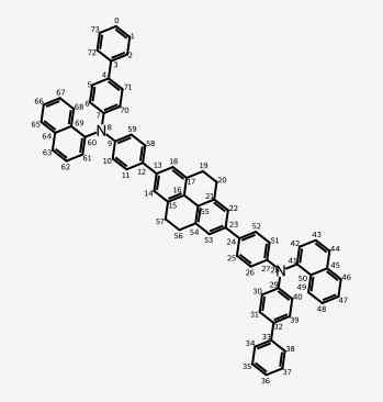 c1ccc(-c2ccc(N(c3ccc(-c4cc5c6c(c4)CCc4cc(-c7ccc(N(c8ccc(-c9ccccc9)cc8)c8cccc9ccccc89)cc7)cc(c4-6)CC5)cc3)c3cccc4ccccc34)cc2)cc1